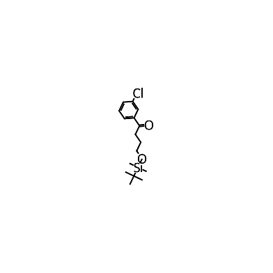 CC(C)(C)[Si](C)(C)OCCCC(=O)c1cccc(Cl)c1